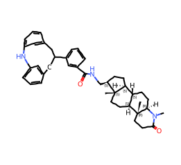 CN1C(=O)CC[C@]2(C)[C@H]3CC[C@]4(C)[C@@H](CNC(=O)c5cccc(C6Cc7cccc(c7)Nc7cccc(c7)C6)c5)CC[C@H]4[C@@H]3CC[C@@H]12